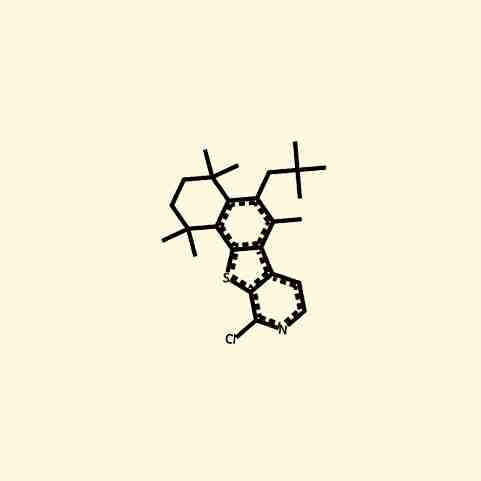 Cc1c(CC(C)(C)C)c2c(c3sc4c(Cl)nccc4c13)C(C)(C)CCC2(C)C